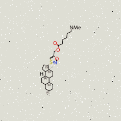 CNCCCCCC(=O)OCC1=CS([C@H]2CCC3[C@@H]4CCC5C[C@@H](C)CC[C@]5(C)C4CC[C@@]32C)=NO1